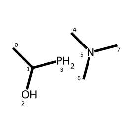 CC(O)P.CN(C)C